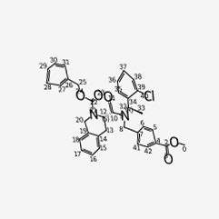 COC(=O)c1ccc(CN(C(=O)[C@@H]2Cc3ccccc3CN2C(=O)OCc2ccccc2)[C@H](C)c2ccccc2Cl)cc1